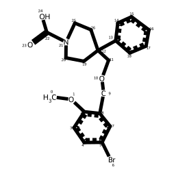 COc1ccc(Br)cc1COCC1(c2ccccc2)CCN(C(=O)O)CC1